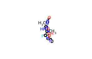 C[C@H]1CN(C2COC2)CCN1c1ccc(Nc2cc(-c3cc(F)cc(N4CCc5c(cc6n5CCCC6)C4=O)c3CO)cn(C)c2=O)nc1